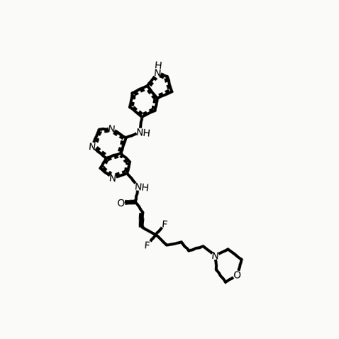 O=C(C=CC(F)(F)CCCCN1CCOCC1)Nc1cc2c(Nc3ccc4[nH]ccc4c3)ncnc2cn1